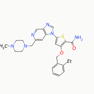 CCc1ccccc1COc1cc(-n2cnc3cnc(CN4CCN(C)CC4)cc32)sc1C(N)=O